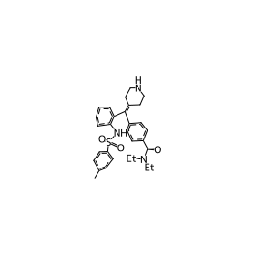 CCN(CC)C(=O)c1ccc(C(=C2CCNCC2)c2ccccc2NS(=O)(=O)c2ccc(C)cc2)cc1